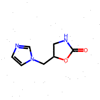 O=C1NCC(Cn2ccnc2)O1